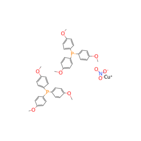 COc1ccc(P(c2ccc(OC)cc2)c2ccc(OC)cc2)cc1.COc1ccc(P(c2ccc(OC)cc2)c2ccc(OC)cc2)cc1.O=[N+]([O-])[O-].[Cu+]